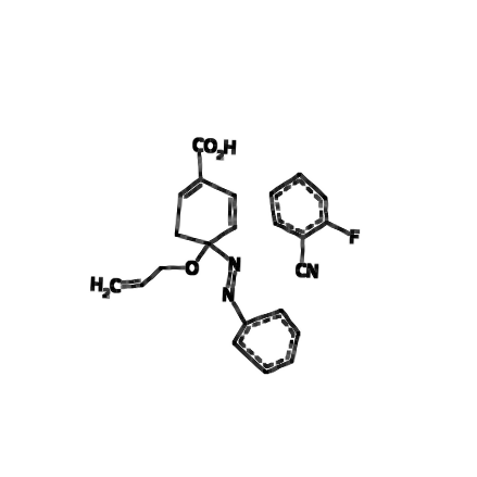 C=CCOC1(N=Nc2ccccc2)C=CC(C(=O)O)=CC1.N#Cc1ccccc1F